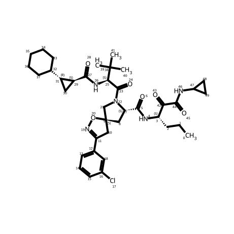 CCC[C@H](NC(=O)[C@@H]1C[C@]2(CC(c3cccc(Cl)c3)=NO2)CN1C(=O)[C@@H](NC(=O)[C@H]1C[C@@H]1C1CCCCC1)C(C)(C)C)C(=O)C(=O)NC1CC1